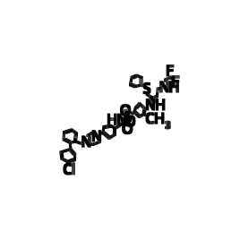 Cc1cc(S(=O)(=O)NC(=O)c2ccc(N3CCN(Cc4ccccc4-c4ccc(Cl)cc4)CC3)cc2)ccc1N[C@H](CCNCC(F)F)CSc1ccccc1